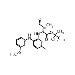 CSc1cccc(Nc2ccc(F)cc2NN(C(=O)OC(C)(C)C)[C@@H](C)C=O)c1